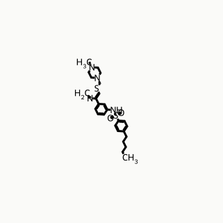 C=N/C(=C\SCN1CCN(C)CC1)c1cccc(NS(=O)(=O)c2ccc(CCCCC)cc2)c1